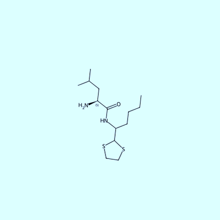 CCCCC(NC(=O)[C@@H](N)CC(C)C)C1SCCS1